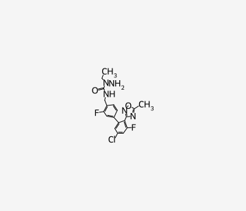 CCN(N)C(=O)NCc1ccc(-c2cc(Cl)cc(F)c2-c2noc(C)n2)cc1F